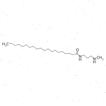 CCCCCCCCCCCCCCCCCCCC(=O)NCCCNC